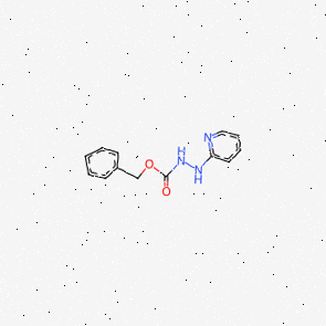 O=C(NNc1ccccn1)OCc1ccccc1